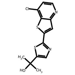 CC(C)(O)c1cnc(-c2cc3nccc(Cl)c3s2)s1